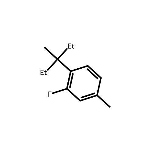 CCC(C)(CC)c1ccc(C)cc1F